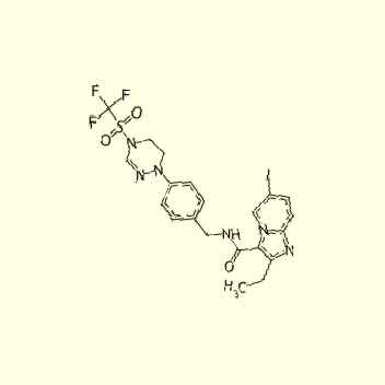 CCc1nc2ccc(I)cn2c1C(=O)NCc1ccc(N2CCN(S(=O)(=O)C(F)(F)F)C=N2)cc1